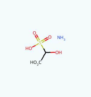 N.O=C(O)C(O)S(=O)(=O)O